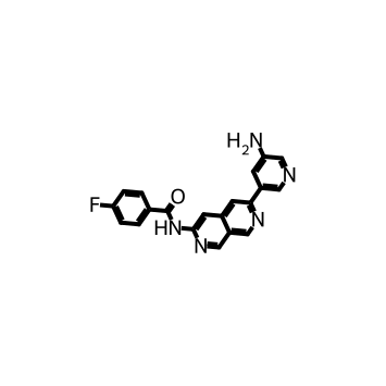 Nc1cncc(-c2cc3cc(NC(=O)c4ccc(F)cc4)ncc3cn2)c1